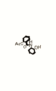 CC(=O)Oc1ccccc1C(=O)N[C@@H]1CCCC[C@H]1O